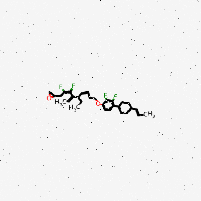 C/C=C(\C(F)=C(\F)CC1CO1)C(/C=C\CCOc1ccc(C2CCC(/C=C/C)CC2)c(F)c1F)CC